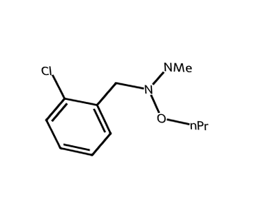 CCCON(Cc1ccccc1Cl)NC